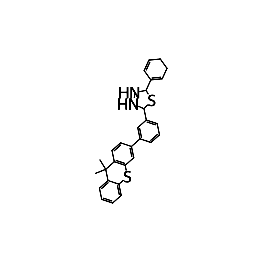 CC1(C)c2ccccc2Sc2cc(-c3cccc(C4NNC(C5=CCCC=C5)S4)c3)ccc21